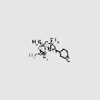 C[SiH](C)O[Si](C)(C)O[Si](C)(C)CCC1CCC2OC2C1